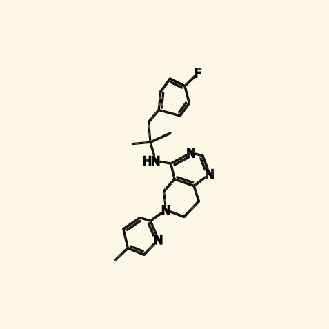 Cc1ccc(N2CCc3ncnc(NC(C)(C)Cc4ccc(F)cc4)c3C2)nc1